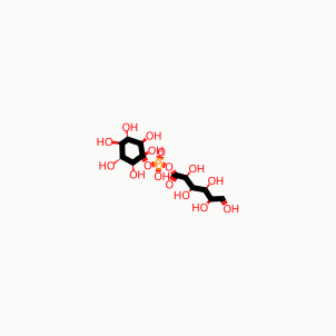 O=C(OP(=O)(O)O[C@]1(O)[C@H](O)[C@H](O)[C@@H](O)[C@H](O)[C@H]1O)[C@H](O)[C@@H](O)[C@H](O)[C@H](O)CO